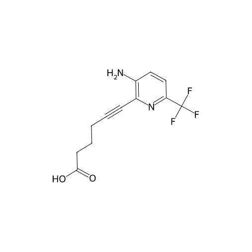 Nc1ccc(C(F)(F)F)nc1C#CCCCC(=O)O